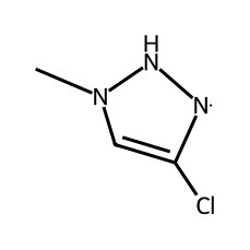 CN1C=C(Cl)[N]N1